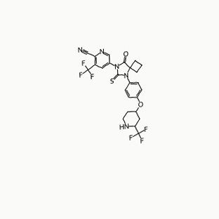 N#Cc1ncc(N2C(=O)C3(CCC3)N(c3ccc(OC4CCNC(C(F)(F)F)C4)cc3)C2=S)cc1C(F)(F)F